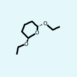 CCO[C@H]1CCC[C@H](OCC)O1